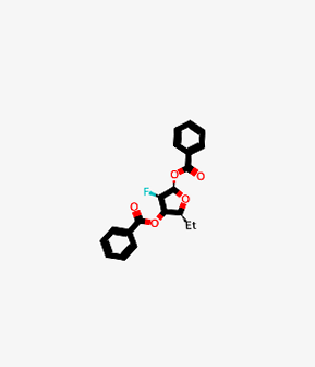 CC[C@H]1O[C@@H](OC(=O)c2ccccc2)[C@H](F)C1OC(=O)c1ccccc1